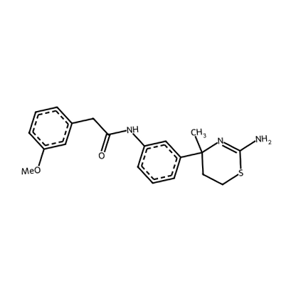 COc1cccc(CC(=O)Nc2cccc(C3(C)CCSC(N)=N3)c2)c1